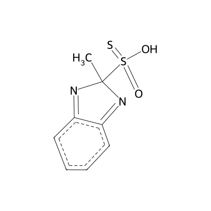 CC1(S(=O)(O)=S)N=c2ccccc2=N1